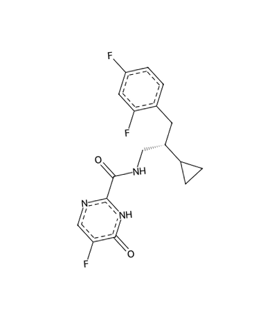 O=C(NC[C@H](Cc1ccc(F)cc1F)C1CC1)c1ncc(F)c(=O)[nH]1